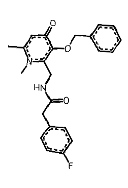 Cc1cc(=O)c(OCc2ccccc2)c(CNC(=O)Cc2ccc(F)cc2)n1C